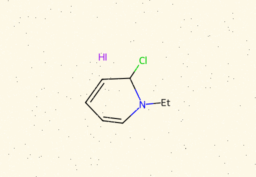 CCN1C=CC=CC1Cl.I